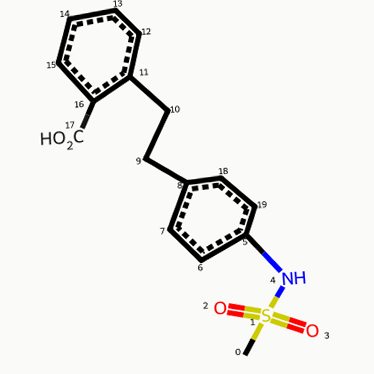 CS(=O)(=O)Nc1ccc(CCc2ccccc2C(=O)O)cc1